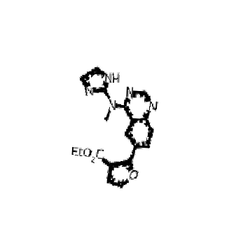 CCOC(=O)c1ccoc1-c1ccc2ncnc(N(C)c3ncc[nH]3)c2c1